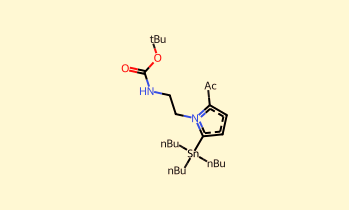 CCC[CH2][Sn]([CH2]CCC)([CH2]CCC)[c]1ccc(C(C)=O)n1CCNC(=O)OC(C)(C)C